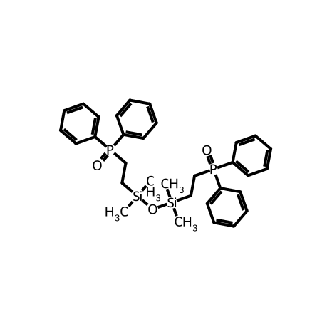 C[Si](C)(CCP(=O)(c1ccccc1)c1ccccc1)O[Si](C)(C)CCP(=O)(c1ccccc1)c1ccccc1